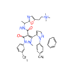 CC(NC(=O)c1c(-c2ccnn2-c2ccc(C#N)cc2)n(C)n(-c2cccc(C(F)(F)F)c2)c1=O)c1ncc(CC[N+](C)(C)C)o1.c1ccccc1